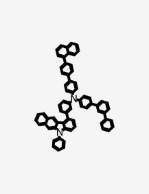 c1ccc(-c2cccc(-c3ccc(N(c4ccc(-c5ccc(-c6cccc7ccccc67)cc5)cc4)c4cccc(-c5cccc6c5c5cc7ccccc7cc5n6-c5ccccc5)c4)cc3)c2)cc1